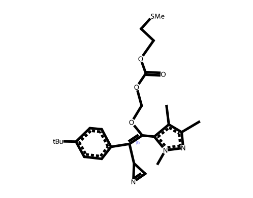 CSCCOC(=O)OCO/C(=C(\c1ccc(C(C)(C)C)cc1)C1C=N1)c1c(C)c(C)nn1C